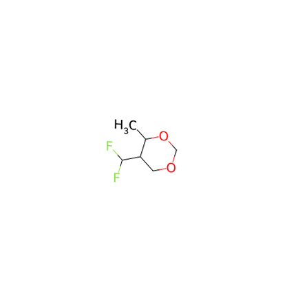 CC1OCOCC1C(F)F